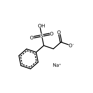 O=C([O-])CC(c1ccccc1)S(=O)(=O)O.[Na+]